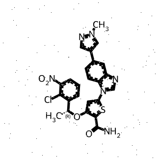 C[C@@H](Oc1cc(-n2cnc3cc(-c4cnn(C)c4)ccc32)sc1C(N)=O)c1cccc([N+](=O)[O-])c1Cl